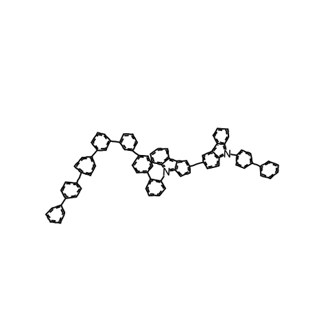 c1ccc(-c2ccc(-c3ccc(-c4cccc(-c5cccc(-c6ccc(-c7ccccc7-n7c8ccccc8c8cc(-c9ccc%10c(c9)c9ccccc9n%10-c9ccc(-c%10ccccc%10)cc9)ccc87)cc6)c5)c4)cc3)cc2)cc1